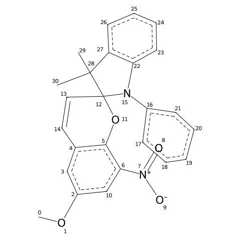 COc1cc2c(c([N+](=O)[O-])c1)OC1(C=C2)N(c2ccccc2)c2ccccc2C1(C)C